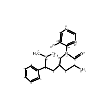 CCCC(CC(c1ccccc1)N(C)C)CN(C=O)c1ncncc1F